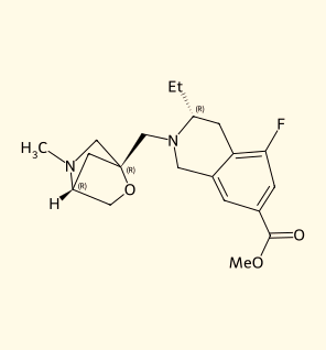 CC[C@@H]1Cc2c(F)cc(C(=O)OC)cc2CN1C[C@]12C[C@H](CO1)N(C)C2